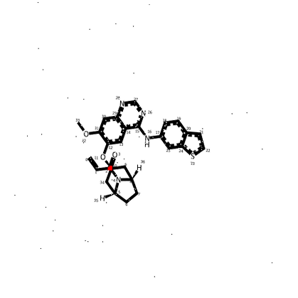 C=CC(=O)N1[C@@H]2CC[C@H]1C[C@H](Oc1cc3c(Nc4ccc5ccsc5c4)ncnc3cc1OC)C2